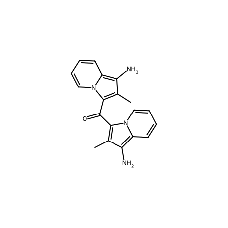 Cc1c(N)c2ccccn2c1C(=O)c1c(C)c(N)c2ccccn12